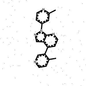 Cc1cc(-n2ncc3c(-c4cnccc4C)ccnc32)ccn1